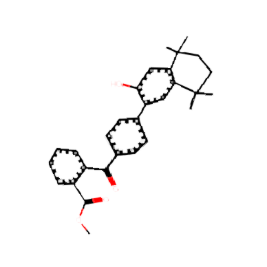 COC(=O)c1ccccc1C(=O)c1ccc(-c2cc3c(cc2O)C(C)(C)CCC3(C)C)cc1